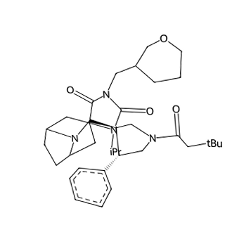 CC(C)N1C(=O)N(CC2CCCOC2)C(=O)C12CC1CCC(C2)N1C[C@H]1CN(C(=O)CC(C)(C)C)C[C@@H]1c1ccccc1